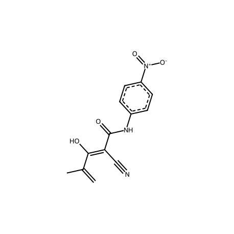 C=C(C)/C(O)=C(\C#N)C(=O)Nc1ccc([N+](=O)[O-])cc1